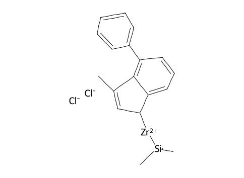 CC1=C[CH]([Zr+2][Si](C)C)c2cccc(-c3ccccc3)c21.[Cl-].[Cl-]